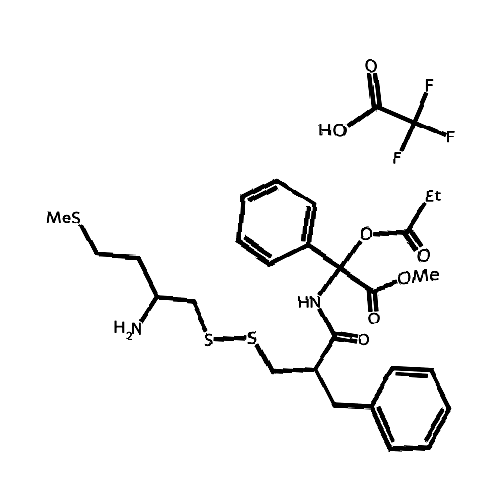 CCC(=O)OC(NC(=O)C(CSSCC(N)CCSC)Cc1ccccc1)(C(=O)OC)c1ccccc1.O=C(O)C(F)(F)F